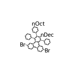 CCCCCCCCCCc1c(-c2ccc(CCCCCCCC)cc2)c(-c2ccccc2)c2c3cc(Br)ccc3c3ccc(Br)cc3c2c1-c1ccccc1